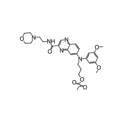 COc1cc(OC)cc(N(CCCOS(C)(=O)=O)c2ccc3ncc(C(=O)NCCN4CCOCC4)nc3c2)c1